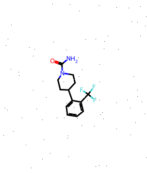 NC(=O)N1CCC(c2ccccc2C(F)(F)F)CC1